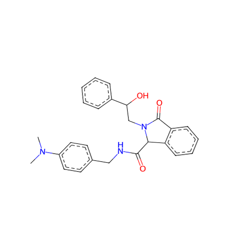 CN(C)c1ccc(CNC(=O)C2c3ccccc3C(=O)N2CC(O)c2ccccc2)cc1